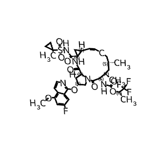 COc1cc(F)cc2c(O[C@@H]3C[C@H]4C(=O)N[C@]5(C(=O)NS(=O)(=O)C6(C)CC6)C[C@H]5C=CCC[C@H](C)C[C@@H](C)[C@H](NC(=O)O[C@H](C)C(F)(F)F)C(=O)N4C3)nccc12